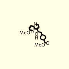 COC(=O)C1CCC(CC(O)c2ccnc3ccc(OC)nc23)CC1